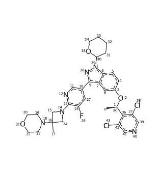 C[C@@H](Oc1ccc2c(c1)c(-c1cnc(N3CC(C)(N4CCOCC4)C3)c(F)c1)nn2C1CCCCO1)c1c(Cl)cncc1Cl